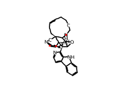 C1=C\CC[C@]23CN4CCCC/C=C\CC[C@@]5(O[C@H]5[C@@H](c5nccc6c5[nH]c5ccccc56)[C@@H]2CC4)[C@@H]3NCCCC/1